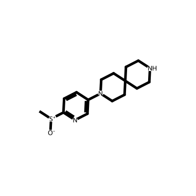 C[S+]([O-])c1ccc(N2CCC3(CCNCC3)CC2)cn1